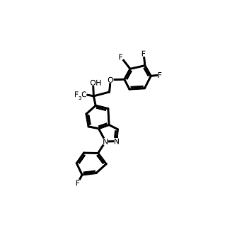 OC(COc1ccc(F)c(F)c1F)(c1ccc2c(cnn2-c2ccc(F)cc2)c1)C(F)(F)F